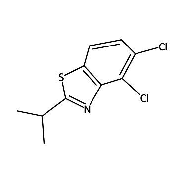 CC(C)c1nc2c(Cl)c(Cl)ccc2s1